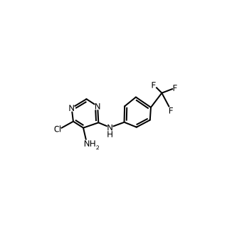 Nc1c(Cl)ncnc1Nc1ccc(C(F)(F)F)cc1